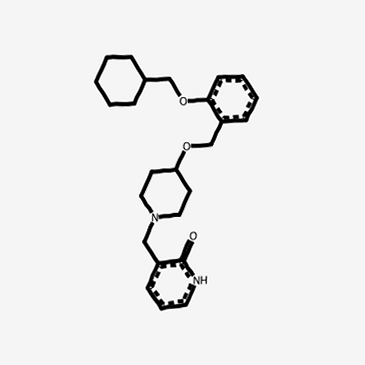 O=c1[nH]cccc1CN1CCC(OCc2ccccc2OCC2CCCCC2)CC1